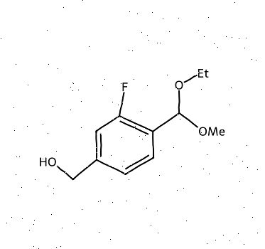 CCOC(OC)c1ccc(CO)cc1F